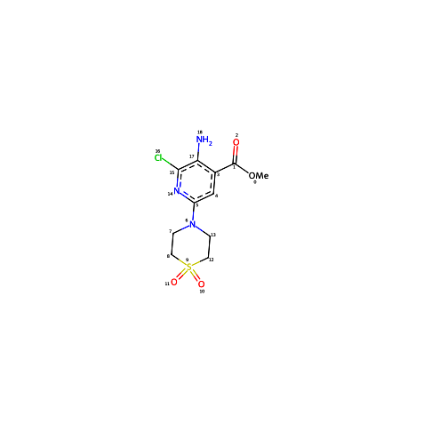 COC(=O)c1cc(N2CCS(=O)(=O)CC2)nc(Cl)c1N